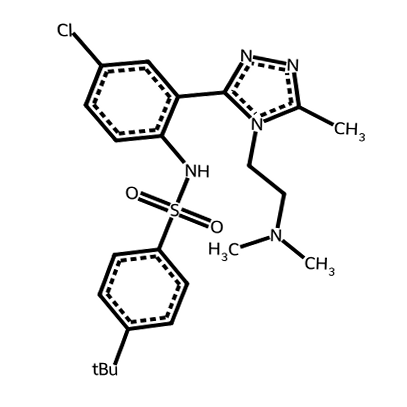 Cc1nnc(-c2cc(Cl)ccc2NS(=O)(=O)c2ccc(C(C)(C)C)cc2)n1CCN(C)C